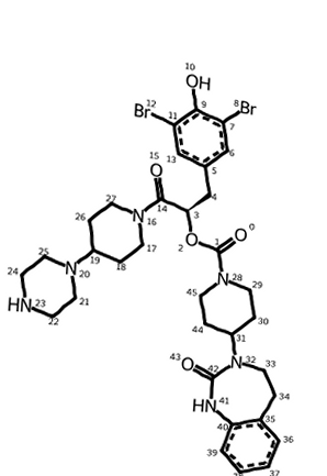 O=C(O[C@H](Cc1cc(Br)c(O)c(Br)c1)C(=O)N1CCC(N2CCNCC2)CC1)N1CCC(N2CCc3ccccc3NC2=O)CC1